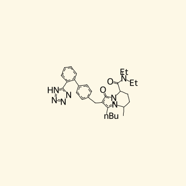 CCCCc1c(Cc2ccc(-c3ccccc3-c3nnn[nH]3)cc2)c(=O)n2n1C(C)CCC2C(=O)N(CC)CC